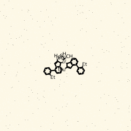 CCc1ccccc1-c1cccc2c1C=C(C(C)(C)C)[CH]2[Zr]([CH]1C(C(C)(C)C)=Cc2c(-c3ccccc3CC)cccc21)[SiH](C)C